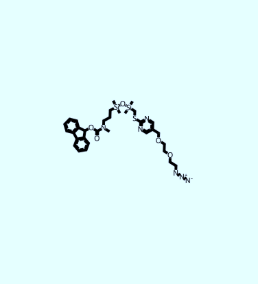 CN(CCC[Si](C)(C)O[Si](C)(C)CSc1ncc(COCCOCCN=[N+]=[N-])cn1)C(=O)OC1c2ccccc2-c2ccccc21